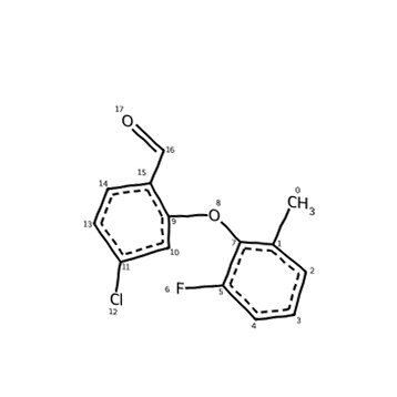 Cc1cccc(F)c1Oc1cc(Cl)ccc1C=O